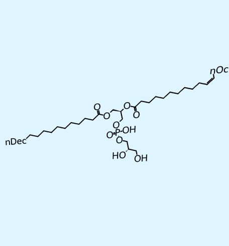 CCCCCCCC/C=C\CCCCCCCCCC(=O)O[C@H](COC(=O)CCCCCCCCCCCCCCCCCCCC)COP(=O)(O)OC[C@@H](O)CO